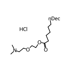 CCCCCCCCCCCCCCCC(=O)OCCOCCN(C)C.Cl